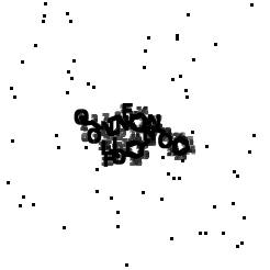 COC(CC=O)N1CCN(c2cc3c(cc2F)nc(COc2ccccc2)n3Cc2ccc(OC(F)(F)F)cc2)CC1